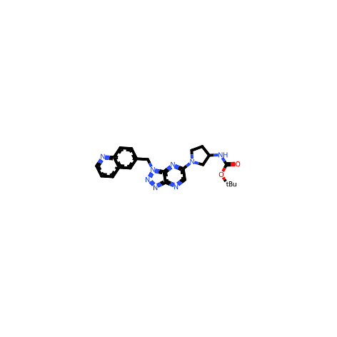 CC(C)(C)OC(=O)NC1CCN(c2cnc3nnn(Cc4ccc5ncccc5c4)c3n2)C1